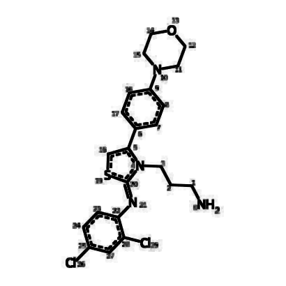 NCCCn1c(-c2ccc(N3CCOCC3)cc2)cs/c1=N\c1ccc(Cl)cc1Cl